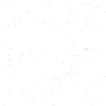 O=C(O)C(O)CSCCC1CCN(C(=O)OCc2ccccc2)CC1